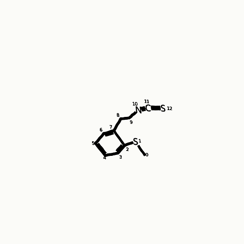 CSc1ccccc1CCN=C=S